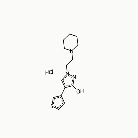 Cl.Oc1nn(CCN2CCCCC2)cc1-c1ccsc1